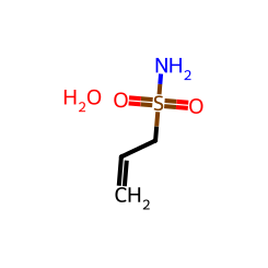 C=CCS(N)(=O)=O.O